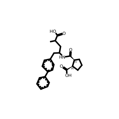 CC(CC(Cc1ccc(-c2ccccc2)cc1)NC(=O)[C@H]1CCC[C@H]1C(=O)O)C(=O)O